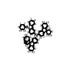 c1ccc(-n2c3ccccc3c3cc(N(c4ccc5c(c4)-c4ccccc4C54CCCC4)c4ccc5c(c4)C4(c6ccccc6-5)C5CCC6CC(C5)CC4C6)ccc32)cc1